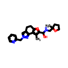 Cc1c(C(O)NCC2(C)CCCO2)oc2c1-c1nn(Cc3ccccn3)cc1CC2